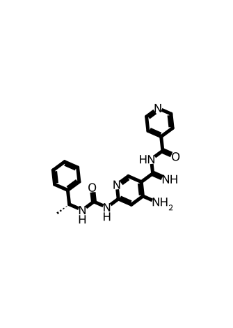 C[C@@H](NC(=O)Nc1cc(N)c(C(=N)NC(=O)c2ccncc2)cn1)c1ccccc1